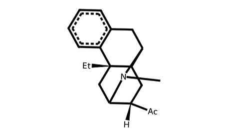 CC[C@]12CC3[C@@H](C(C)=O)CC1C(Cc1ccccc12)N3C